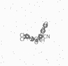 N#Cc1cc(NC(=O)Oc2ccn(-c3ccc(Cl)c(Cl)c3)c2)ccc1N1CCN(C2CCOCC2)CC1